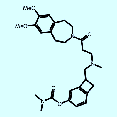 COc1cc2c(cc1OC)CCN(C(=O)CCN(C)CC1Cc3ccc(OC(=O)N(C)C)cc31)CC2